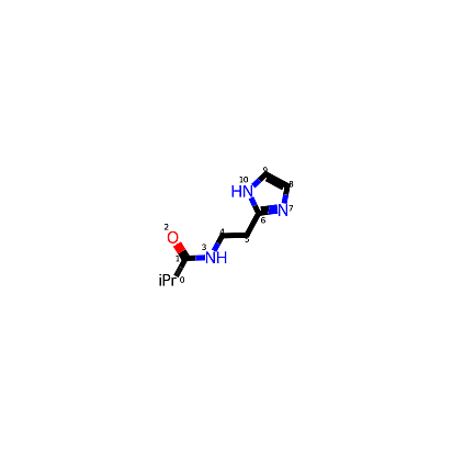 CC(C)C(=O)NCCc1ncc[nH]1